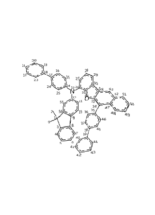 CC1(C)c2ccccc2-c2ccc(N(c3ccc(-c4ccccc4)cc3)c3cccc4c3oc3c(-c5ccc(-c6ccccc6)cc5)c5ccccc5cc34)cc21